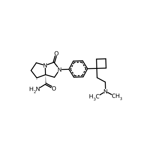 CN(C)CCC1(c2ccc(N3C[C@@]4(C(N)=O)[CH]CCN4C3=O)cc2)CCC1